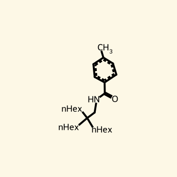 CCCCCCC(CCCCCC)(CCCCCC)CNC(=O)c1ccc(C)cc1